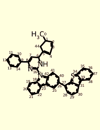 CC1C=CC=C(C2C=C(c3ccccc3)N=C(n3c4ccccc4c4cc(-c5cccc6c5sc5ccccc56)ccc43)N2)C1